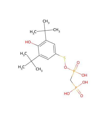 CC(C)(C)c1cc(SOP(=O)(O)CP(=O)(O)O)cc(C(C)(C)C)c1O